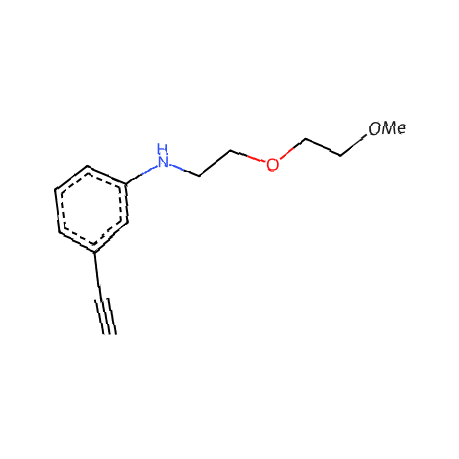 C#Cc1cccc(NCCOCCOC)c1